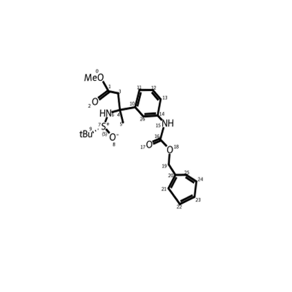 COC(=O)CC(C)(N[S@+]([O-])C(C)(C)C)c1cccc(NC(=O)OCc2ccccc2)c1